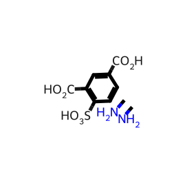 CN.CN.O=C(O)c1ccc(S(=O)(=O)O)c(C(=O)O)c1